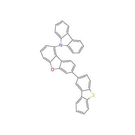 c1cc(-n2c3ccccc3c3ccccc32)c2c(c1)oc1cc(-c3ccc4sc5ccccc5c4c3)ccc12